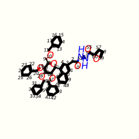 O=C(Cc1cc([C@@H]2O[C@H](COCc3ccccc3)[C@@H](OCc3ccccc3)[C@H](OCc3ccccc3)[C@H]2OCc2ccccc2)c2ccccc2c1)NNC(=O)c1ccco1